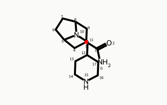 NC(=O)C1CC2CCC(C1)N2CC1CCNCC1